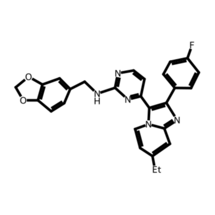 CCc1ccn2c(-c3ccnc(NCc4ccc5c(c4)OCO5)n3)c(-c3ccc(F)cc3)nc2c1